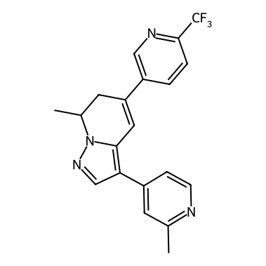 Cc1cc(-c2cnn3c2C=C(c2ccc(C(F)(F)F)nc2)CC3C)ccn1